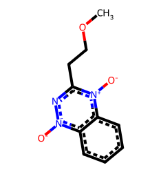 COCCc1n[n+]([O-])c2ccccc2[n+]1[O-]